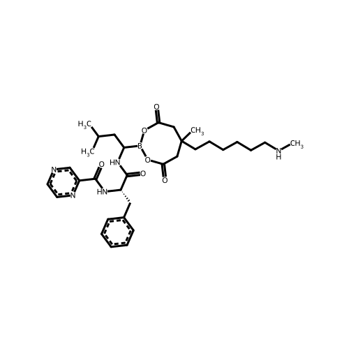 CNCCCCCCC1(C)CC(=O)OB(C(CC(C)C)NC(=O)[C@H](Cc2ccccc2)NC(=O)c2cnccn2)OC(=O)C1